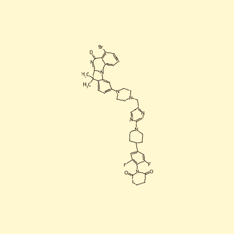 CC1(C)c2ccc(N3CCN(Cc4cnc(N5CCC(c6cc(F)c(N7C(=O)CCCC7=O)c(F)c6)CC5)cn4)CC3)cc2-n2c1nc(=O)c1c(Br)cccc12